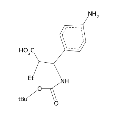 CCC(C(=O)O)C(NC(=O)OC(C)(C)C)c1ccc(N)cc1